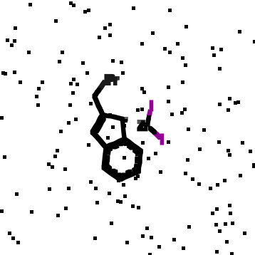 CC(C)CC1=Cc2ccccc2[CH]1.[I][Zr][I]